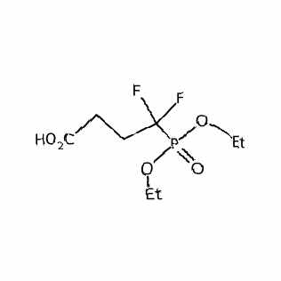 CCOP(=O)(OCC)C(F)(F)CCC(=O)O